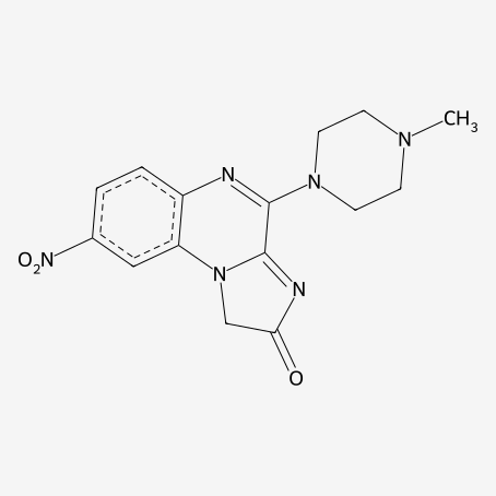 CN1CCN(C2=Nc3ccc([N+](=O)[O-])cc3N3CC(=O)N=C23)CC1